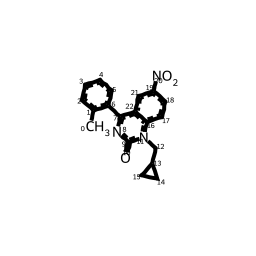 Cc1ccccc1-c1nc(=O)n(CC2CC2)c2ccc([N+](=O)[O-])cc12